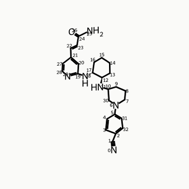 N#Cc1ccc(N2CCCC(N[C@@H]3CCCC[C@H]3Nc3cc(C=CC(N)=O)ccn3)C2)cc1